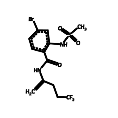 C=C(CCC(F)(F)F)NC(=O)c1ccc(Br)cc1NS(C)(=O)=O